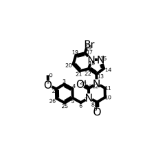 COc1ccc(CN2C(=O)CCN(c3cnn4c(Br)cccc34)C2=O)cc1